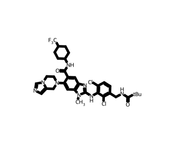 Cn1c(Nc2c(Cl)ccc(CNC(=O)C(C)(C)C)c2Cl)nc2cc(C(=O)NC3CCC(C(F)(F)F)CC3)c(N3CCn4cncc4C3)cc21